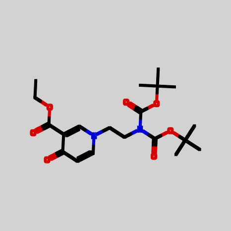 CCOC(=O)c1cn(CCN(C(=O)OC(C)(C)C)C(=O)OC(C)(C)C)ccc1=O